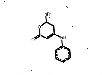 CCCC1CC(Nc2ccccc2)=CC(=O)O1